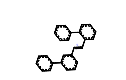 [c]1c(/C=C/c2ccccc2-c2ccccc2)cccc1-c1ccccc1